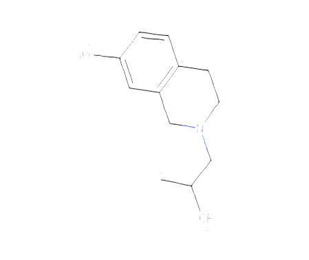 CC(C)c1ccc2c(c1)CN(CC(C)C(F)(F)F)CC2